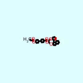 C=CC(=O)Oc1ccc(-c2ccc(C(=O)OC3COc4ccc5ccccc5c4-c4c(ccc5ccccc45)OC3)cc2)cc1